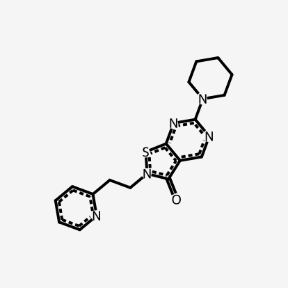 O=c1c2cnc(N3CCCCC3)nc2sn1CCc1ccccn1